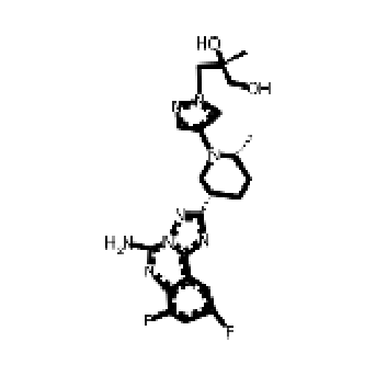 C[C@@H]1CC[C@H](c2nc3c4cc(F)cc(F)c4nc(N)n3n2)CN1c1cnn(C[C@](C)(O)CO)c1